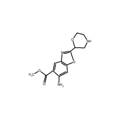 COC(=O)c1cc2nc(C3CNCCO3)oc2cc1N